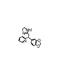 c1ccc(C(CC2=NCCN2)c2ccc3c(c2)OCO3)nc1